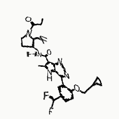 CCC(=O)N1CC[C@H](NC(=O)c2c(C)[nH]c3c(-c4cc(C(F)F)ccc4OCC4CC4)ncnc23)C1F